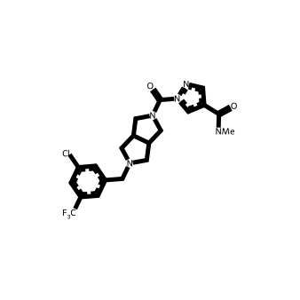 CNC(=O)c1cnn(C(=O)N2CC3CN(Cc4cc(Cl)cc(C(F)(F)F)c4)CC3C2)c1